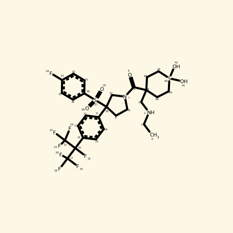 CCNCC1(C(=O)N2CCC(c3ccc(C(F)(C(F)(F)F)C(F)(F)F)cc3)(S(=O)(=O)c3ccc(F)cc3)C2)CCS(O)(O)CC1